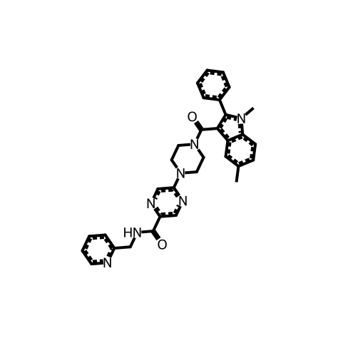 Cc1ccc2c(c1)c(C(=O)N1CCN(c3cnc(C(=O)NCc4ccccn4)cn3)CC1)c(-c1ccccc1)n2C